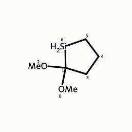 COC1(OC)CCC[SiH2]1